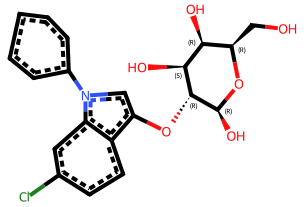 OC[C@H]1O[C@@H](O)[C@H](Oc2cn(-c3ccccc3)c3cc(Cl)ccc23)[C@@H](O)[C@H]1O